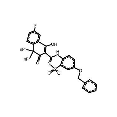 CCCC1(CCC)C(=O)C(C2=NS(=O)(=O)c3cc(OCc4ccccc4)ccc3N2)=C(O)c2cc(F)ccc21